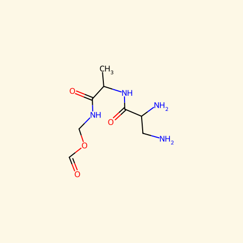 CC(NC(=O)C(N)CN)C(=O)NCOC=O